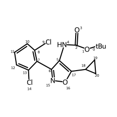 CC(C)(C)OC(=O)Nc1c(-c2c(Cl)cccc2Cl)noc1C1CC1